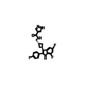 O=C(NC[C@H]1C[C@H](c2c(-c3ccc(F)cc3)[nH]c3c(F)cc(F)cc32)C1)c1cn[nH]c1